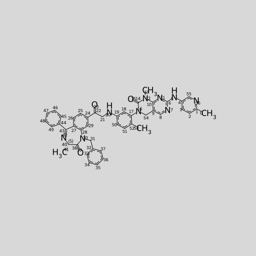 Cc1ccc(Nc2ncc3c(n2)N(C)C(=O)N(c2cc(NCC(=O)c4ccc5c(c4)N(Cc4ccccc4)C(=O)[C@H](C)N=C5c4ccccc4)ccc2C)C3)cn1